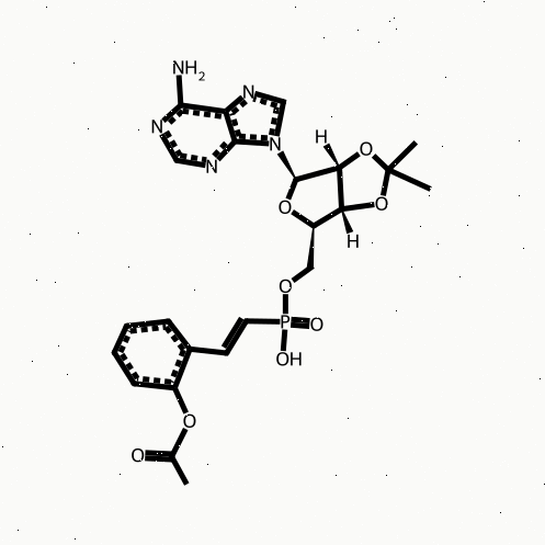 CC(=O)Oc1ccccc1/C=C/P(=O)(O)OC[C@H]1O[C@@H](n2cnc3c(N)ncnc32)[C@@H]2OC(C)(C)O[C@@H]21